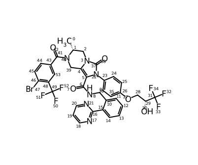 C[C@@H]1Cn2c(c(C(=O)NCc3ccccc3-c3ncccn3)n(-c3ccc(OC[C@@H](O)C(F)(F)F)cc3)c2=O)CN1C(=O)c1ccc(Br)c(C(F)(F)F)c1